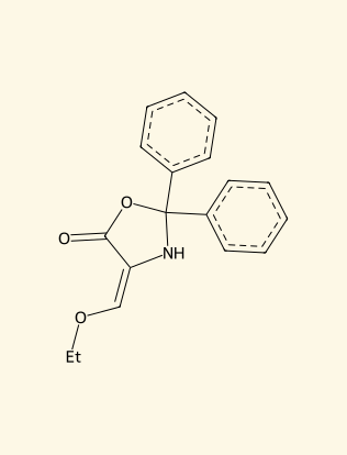 CCOC=C1NC(c2ccccc2)(c2ccccc2)OC1=O